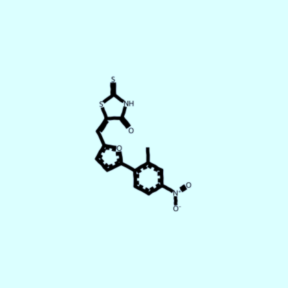 Cc1cc([N+](=O)[O-])ccc1-c1ccc(C=C2SC(=S)NC2=O)o1